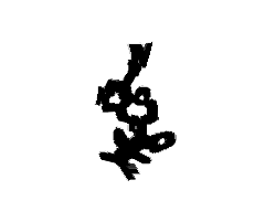 CC(F)C(C)(C)C(=O)N1CCOc2c(C#N)cncc2C1